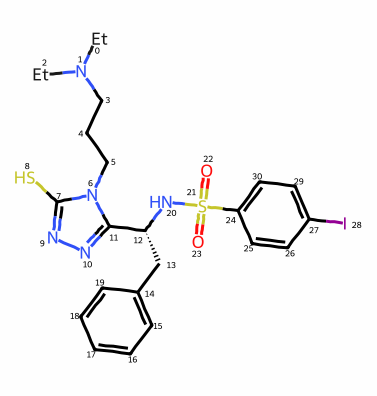 CCN(CC)CCCn1c(S)nnc1[C@@H](Cc1ccccc1)NS(=O)(=O)c1ccc(I)cc1